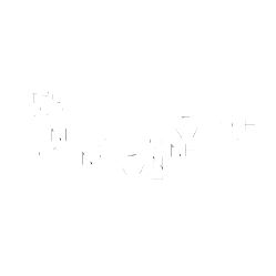 Cc1c(NC(=O)Nc2ccc(CC(=O)N3CC[C@H](C(=O)NCC(=O)OC(C)(C)C)C3)cc2)cccc1C(=O)O